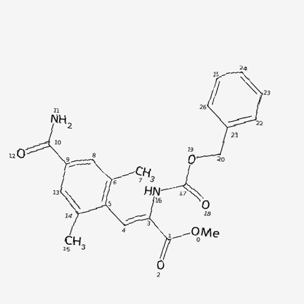 COC(=O)/C(=C/c1c(C)cc(C(N)=O)cc1C)NC(=O)OCc1ccccc1